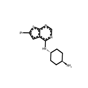 CC(C)c1cc2c(N[C@H]3CC[C@H](N)CC3)ncnc2s1